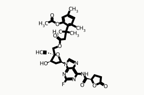 C#C[C@]1(COC(=O)CC(C)(C)c2c(C)cc(C)cc2OC(C)=O)O[C@@H](n2cnc3c(NC(=O)[C@H]4CCC(=O)O4)nc(F)nc32)C[C@@H]1O